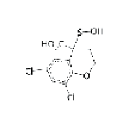 O=C(O)C1(SO)CCOc2c(Cl)cc(Cl)cc21